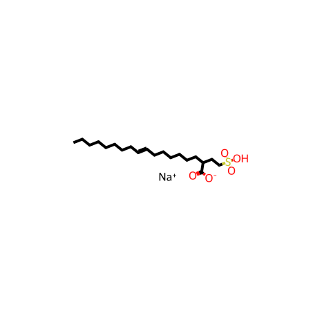 CCCCCCCCC=CCCCCCCC(CCS(=O)(=O)O)C(=O)[O-].[Na+]